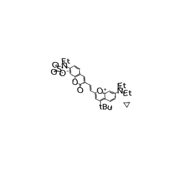 C1CC1.CCN(CC)c1ccc2c(C(C)(C)C)cc(C=Cc3cc4ccc(N(CC)S(=O)(=O)[O-])cc4oc3=O)[o+]c2c1